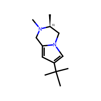 C[C@H]1Cn2cc(C(C)(C)C)cc2CN1C